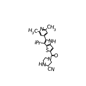 Cc1cc(-c2[nH]c3cc(C(=O)N4CCNC(C#N)C4)sc3c2C(C)C)cc(C)n1